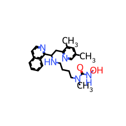 Cc1cnc(CC(NCCCCN(C)C(=O)NO)c2nccc3ccccc23)c(C)c1